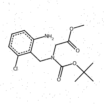 COC(=O)CN(Cc1c(N)cccc1Cl)C(=O)OC(C)(C)C